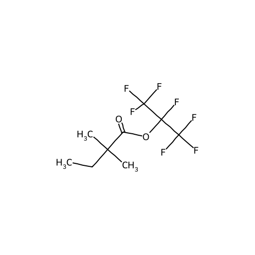 CCC(C)(C)C(=O)OC(F)(C(F)(F)F)C(F)(F)F